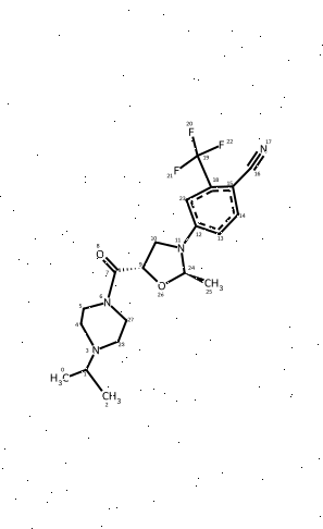 CC(C)N1CCN(C(=O)[C@@H]2CN(c3ccc(C#N)c(C(F)(F)F)c3)[C@@H](C)O2)CC1